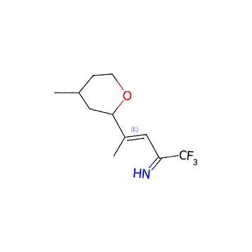 C/C(=C\C(=N)C(F)(F)F)C1CC(C)CCO1